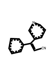 N#CC=C(c1ccccc1)c1cccnc1